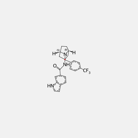 O=C(NC1C[C@H]2CC[C@@H](C1)N2Cc1ccc(C(F)(F)F)cc1)c1ccc2cc[nH]c2c1